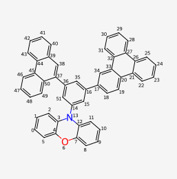 c1ccc2c(c1)Oc1ccccc1N2c1cc(-c2ccc3c4ccccc4c4ccccc4c3c2)cc(-c2cc3ccccc3c3ccccc23)c1